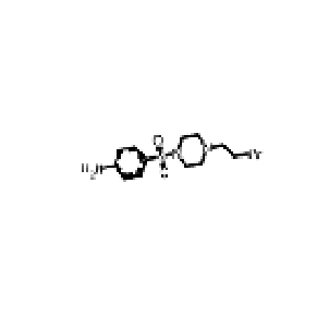 CC(C)CCN1CCN(S(=O)(=O)c2ccc(N)cc2)CC1